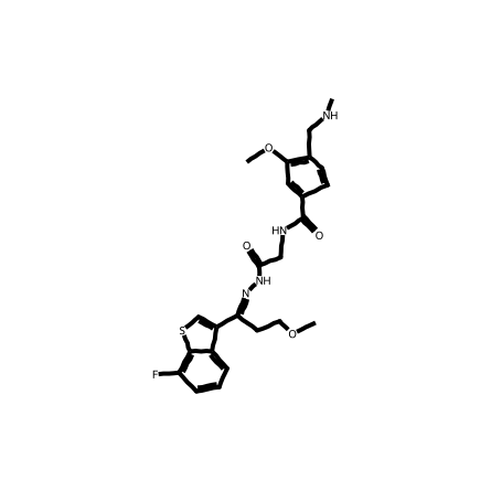 CNCc1ccc(C(=O)NCC(=O)N/N=C(\CCOC)c2csc3c(F)cccc23)cc1OC